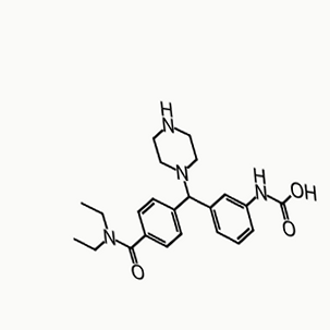 CCN(CC)C(=O)c1ccc(C(c2cccc(NC(=O)O)c2)N2CCNCC2)cc1